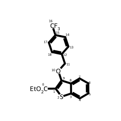 CCOC(=O)c1sc2ccccc2c1OCc1ccc(C(F)(F)F)cc1